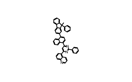 CC1(c2ccccc2)c2ccccc2-c2ccc(-c3ccc(-c4cc(-c5cccc6ncccc56)nc(-c5ccccc5)n4)c4ccccc34)cc21